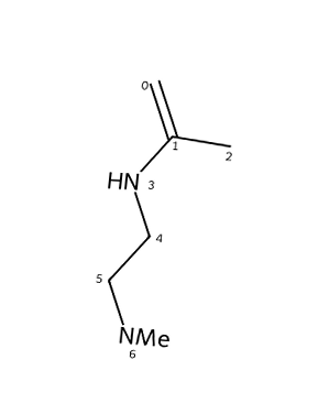 C=C(C)NCCNC